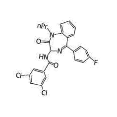 CCCN1C(=O)C(NC(=O)c2cc(Cl)cc(Cl)c2)N=C(c2ccc(F)cc2)c2ccccc21